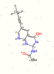 CC(C)(C)C(=O)Nc1nc(O)c2cc(C#C[Si](C)(C)C)cnc2n1